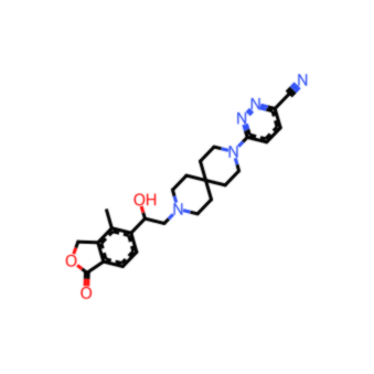 Cc1c(C(O)CN2CCC3(CC2)CCN(c2ccc(C#N)nn2)CC3)ccc2c1COC2=O